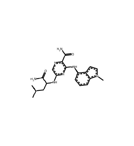 CC(C)CC(Nc1cnc(C(N)=O)c(Nc2cccc3c2ccn3C)n1)C(N)=O